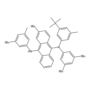 Cc1cc(Nc2c3ccccc3c(N(c3cc(C(C)(C)C)cc(C(C)(C)C)c3)c3cc(C)cc([Si](C)(C)C)c3)c3ccc(C(C)(C)C)cc23)cc(C(C)(C)C)c1